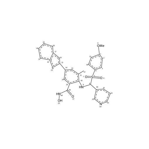 COc1ccc(S(=O)(=O)C(Nc2c(C)cc(-c3cc4ccccc4s3)cc2C(=O)NO)c2cccnc2)cc1